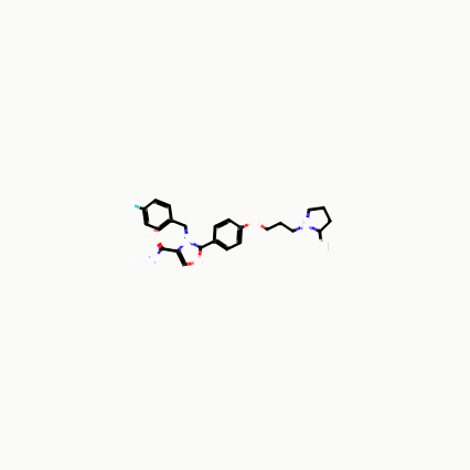 CC1CCCN1CCCOc1ccc(C2OC=C(C(N)=O)N2Cc2ccc(F)cc2)cc1